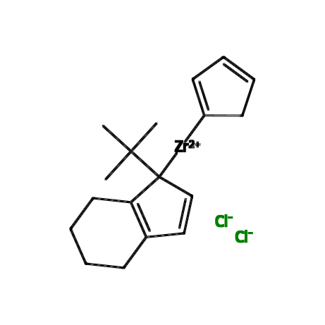 CC(C)(C)[C]1([Zr+2][C]2=CC=CC2)C=CC2=C1CCCC2.[Cl-].[Cl-]